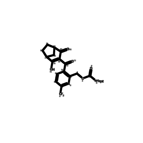 CCCCCCCC(=O)OCc1nc(C(F)(F)F)ccc1C(=O)C1=C(O)C2CCC(C2)C1=O